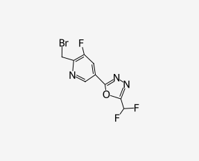 Fc1cc(-c2nnc(C(F)F)o2)cnc1CBr